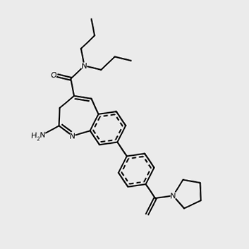 C=C(c1ccc(-c2ccc3c(c2)N=C(N)CC(C(=O)N(CCC)CCC)=C3)cc1)N1CCCC1